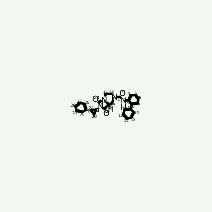 O=C(Nc1ccccc1-c1ccccc1)N1CCN2C(=O)N([C@H]3C[C@@H]3c3ccccc3)C(=O)[C@@H]2C1